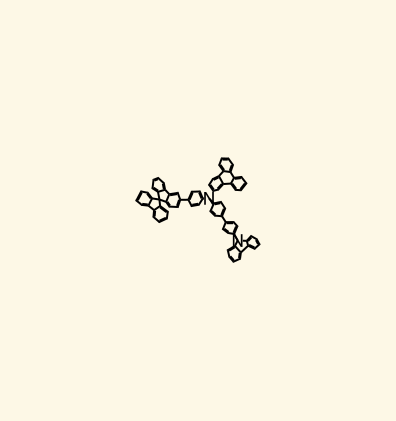 c1ccc2c(c1)-c1ccccc1C21c2ccccc2-c2cc(-c3ccc(N(c4ccc(-c5ccc(-n6c7ccccc7c7ccccc76)cc5)cc4)c4ccc5c6ccccc6c6ccccc6c5c4)cc3)ccc21